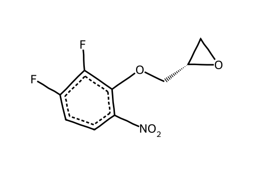 O=[N+]([O-])c1ccc(F)c(F)c1OC[C@@H]1CO1